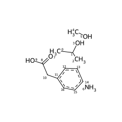 CC(C)O.CO.N.O=C(O)Cc1ccccc1